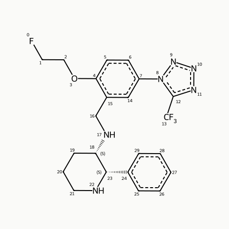 FCCOc1ccc(-n2nnnc2C(F)(F)F)cc1CN[C@H]1CCCN[C@H]1c1ccccc1